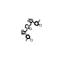 O=C1N(Cc2nnnn2-c2ccc(Cl)c(F)c2)CCCN1Cc1nnnn1-c1ccc(Cl)c(F)c1